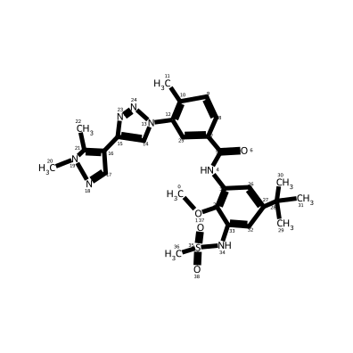 COc1c(NC(=O)c2ccc(C)c(-n3cc(-c4cnn(C)c4C)nn3)c2)cc(C(C)(C)C)cc1NS(C)(=O)=O